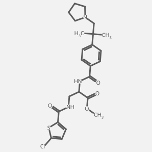 COC(=O)C(CNC(=O)c1ccc(Cl)s1)NC(=O)c1ccc(C(C)(C)CN2CCCC2)cc1